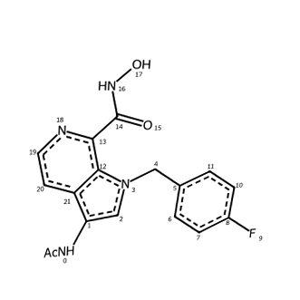 CC(=O)Nc1cn(Cc2ccc(F)cc2)c2c(C(=O)NO)nccc12